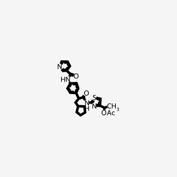 CC(=O)OC(C)c1csc(NC(=O)C(CC2CCCC2)c2ccc(NC(=O)c3cccnc3)cc2)n1